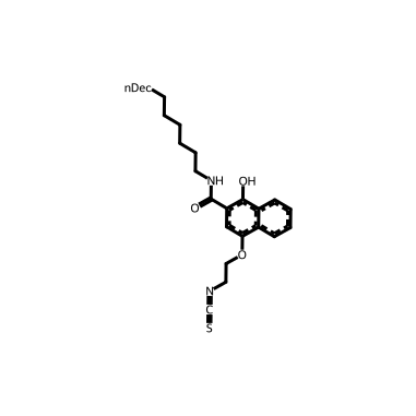 CCCCCCCCCCCCCCCCNC(=O)c1cc(OCCN=C=S)c2ccccc2c1O